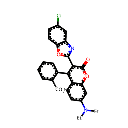 CCN(CC)c1ccc2c(-c3ccccc3C(=O)O)c(-c3nc4cc(Cl)ccc4o3)c(=O)oc2c1